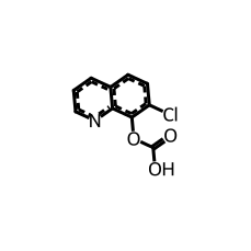 O=C(O)Oc1c(Cl)ccc2cccnc12